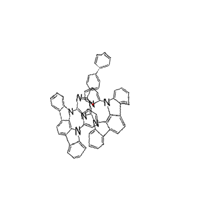 c1ccc(-c2ccc(-c3nc(-n4c5ccccc5c5ccc6c7ccccc7n(-c7ccccc7)c6c54)nc(-n4c5ccccc5c5ccc6c7ccccc7n(-c7ccccc7)c6c54)n3)cc2)cc1